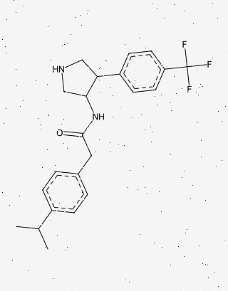 CC(C)c1ccc(CC(=O)NC2CNCC2c2ccc(C(F)(F)F)cc2)cc1